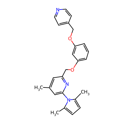 Cc1cc(COc2cccc(OCc3ccncc3)c2)nc(-n2c(C)ccc2C)c1